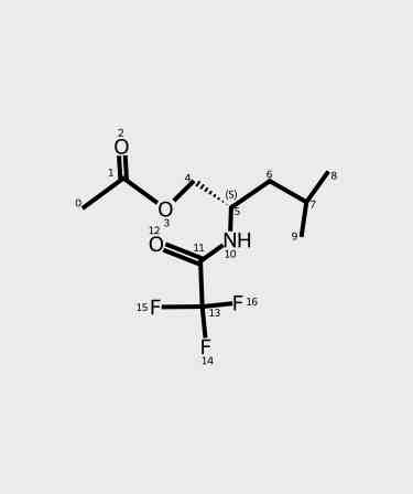 CC(=O)OC[C@H](CC(C)C)NC(=O)C(F)(F)F